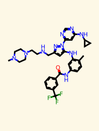 Cc1ccc(NC(=O)c2cccc(C(F)(F)F)c2)cc1Nc1cc(CNCCN2CCN(C)CC2)nn1-c1cc(NC2CC2)ncn1